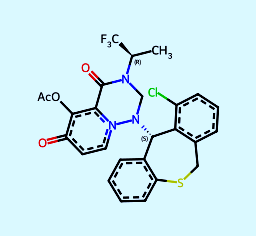 CC(=O)Oc1c2n(ccc1=O)N([C@H]1c3ccccc3SCc3cccc(Cl)c31)CN([C@H](C)C(F)(F)F)C2=O